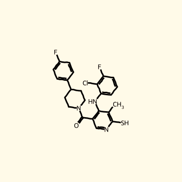 Cc1c(S)ncc(C(=O)N2CCC(c3ccc(F)cc3)CC2)c1Nc1cccc(F)c1Cl